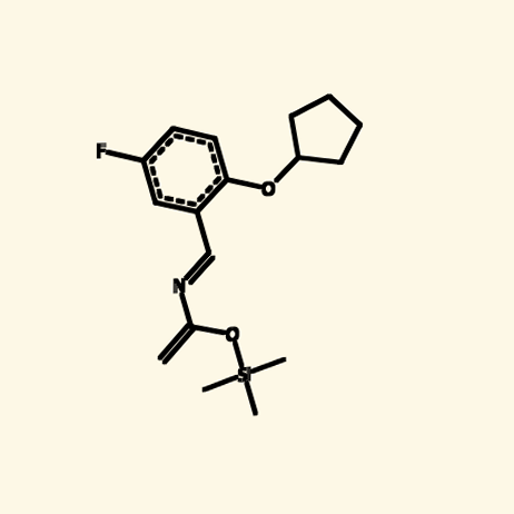 C=C(/N=C/c1cc(F)ccc1OC1CCCC1)O[Si](C)(C)C